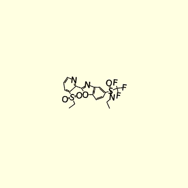 CCN=S(=O)(c1ccc2oc(-c3ncccc3S(=O)(=O)CC)nc2c1)C(F)(F)F